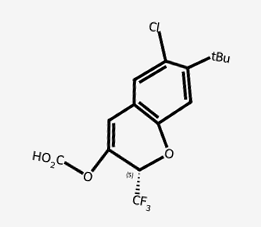 CC(C)(C)c1cc2c(cc1Cl)C=C(OC(=O)O)[C@@H](C(F)(F)F)O2